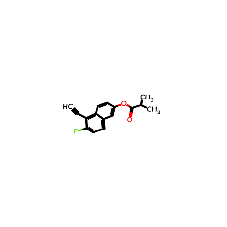 C#Cc1c(F)ccc2cc(OC(=O)C(C)C)ccc12